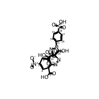 O=C(O)c1cc([N+](=O)[O-])cc(S(=O)(=O)O)c1/N=N\c1c(C(=O)O)nn(-c2ccc(S(=O)(=O)O)cc2)c1O